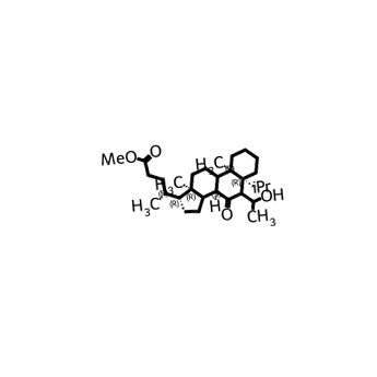 COC(=O)CC[C@@H](C)[C@H]1CCC2[C@@H]3C(=O)C(C(C)O)[C@]4(C(C)C)CCCC[C@]4(C)C3CC[C@@]21C